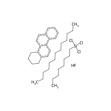 CCCCCCCCCCCCC.CCCCCCCC[Si](Cl)(Cl)Cl.F.c1ccc2c(c1)ccc1c3c(ccc12)CCCC3